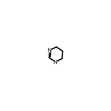 C1=NCCC[N]1